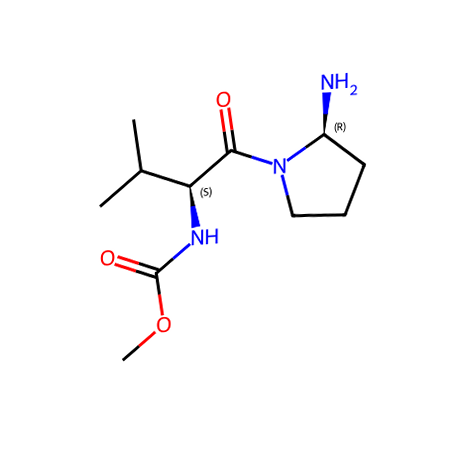 COC(=O)N[C@H](C(=O)N1CCC[C@@H]1N)C(C)C